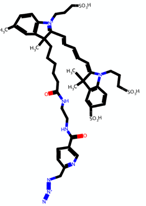 Cc1ccc2c(c1)C(C)(CCCCCC(=O)NCCNC(=O)c1ccc(CN=[N+]=[N-])nc1)C(C=CC=CC=C1N(CCCS(=O)(=O)O)c3ccc(S(=O)(=O)O)cc3C1(C)C)=[N+]2CCCS(=O)(=O)O